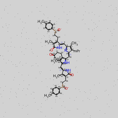 CCCC1=C(C)C(/C=C2\NC(=O)C(C)=C2CC[S+]([O-])c2ccc(C)cc2)=NC/1=C\c1[nH]c(/C=C2\NC(=O)C(CC[S+]([O-])c3ccc(C)cc3)=C2C)c(C)c1CCC(=O)OC